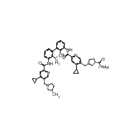 COC(=O)[C@@H]1CCN(Cc2cnc(C(=O)Nc3cccc(-c4cccc(NC(=O)c5cc(C6CC6)c(CN6CC[C@@H](C)C6)cn5)c4C)c3C)cc2C2CC2)C1